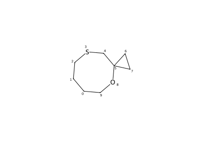 C1CCSCC2(CC2)OC1